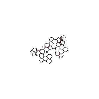 c1ccc(-c2cccc(-c3ccccc3)c2N2c3ccccc3B3c4cc5c(cc4Nc4cc(N6C7CC8CC9CC6CC89C7)cc2c43)N(c2c(-c3ccccc3)cccc2-c2ccccc2)c2cc(N3CC4CC6CC4CC3C6)cc3c2B5c2ccccc2N3c2c(-c3ccccc3)cccc2-c2ccccc2)cc1